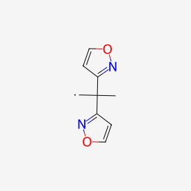 [CH2]C(C)(c1ccon1)c1ccon1